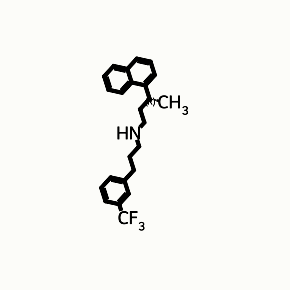 C[C@H](CCNCCCc1cccc(C(F)(F)F)c1)c1cccc2ccccc12